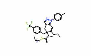 C=C(S/C=C\C)C(C)C1(Cc2ccc(C(F)(F)F)cc2)Cc2cnn(-c3ccc(C)cc3)c2C=C1CCC